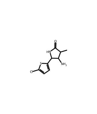 CC1C(=O)NC(c2ccc(Cl)s2)C1N